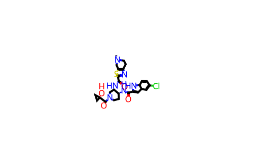 CN1CCc2nc(C(=O)N[C@@H]3CN(C(=O)C4(O)CC4)CC[C@@H]3NC(=O)C3=CC4C=C(Cl)C=CC4N3)sc2C1